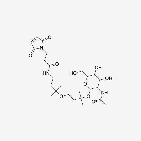 CC(=O)NC1C(OC(C)(C)CCOC(C)(C)CCNC(=O)CCN2C(=O)C=CC2=O)OC(CO)C(O)C1O